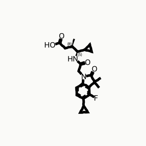 C[C@H](CC(=O)O)[C@H](NC(=O)CN1C(=O)C(C)(C)c2c1ccc(C1CC1)c2F)C1CC1